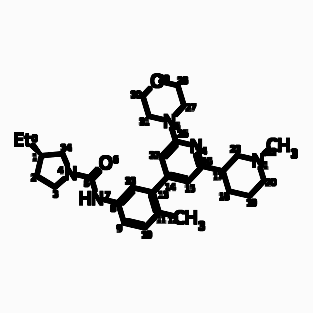 CC[C@@H]1CCN(C(=O)Nc2ccc(C)c(-c3cc(C4CCCN(C)C4)nc(N4CCOCC4)c3)c2)C1